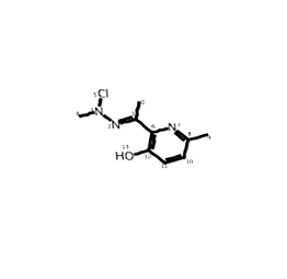 CC(=NN(C)Cl)c1nc(C)ccc1O